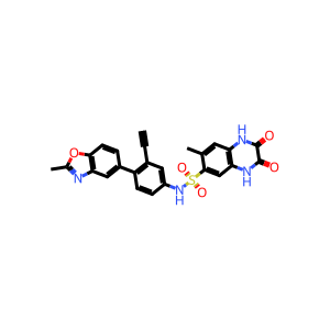 C#Cc1cc(NS(=O)(=O)c2cc3[nH]c(=O)c(=O)[nH]c3cc2C)ccc1-c1ccc2oc(C)nc2c1